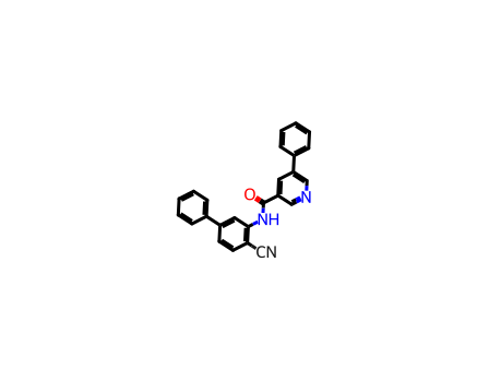 N#Cc1ccc(-c2ccccc2)cc1NC(=O)c1cncc(-c2ccccc2)c1